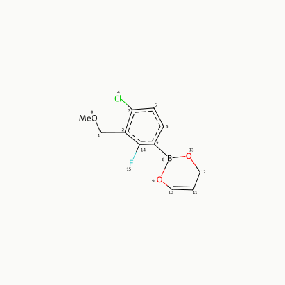 COCc1c(Cl)ccc(B2OC=CCO2)c1F